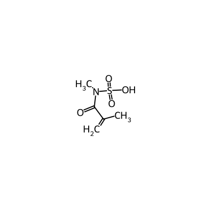 C=C(C)C(=O)N(C)S(=O)(=O)O